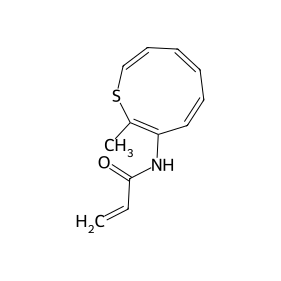 C=CC(=O)Nc1ccccccsc1C